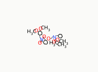 COc1ccc(CN2C(=O)c3cccc(OCCN(Cc4ccccc4)C(=O)OC(C)(C)C)c3C2=O)cc1OC